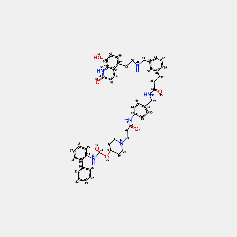 CN(C(=O)CCN1CCC(OC(=O)Nc2ccccc2-c2ccccc2)CC1)c1ccc(CNC(=O)CCc2cccc(CNCCc3ccc(O)c4[nH]c(=O)ccc34)c2)cc1